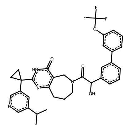 CC(C)c1cncc(C2(c3nc4c(c(=O)[nH]3)CN(C(=O)C(O)c3cccc(-c5cccc(OC(F)(F)F)c5)c3)CCC4)CC2)c1